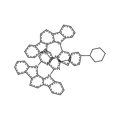 c1ccc(-n2c3ccccc3c3ccc4c5ccccc5n(-c5nc(-c6ccc(C7CCCCC7)cc6)nc(-n6c7ccccc7c7ccc8c9ccccc9n(-c9ccccc9)c8c76)n5)c4c32)cc1